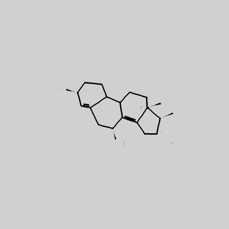 C[C@H]1[C@H](O)CC2=C3C(CC[C@@]21C)C1CC[C@H](O)C=C1C[C@@H]3O